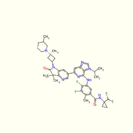 Cc1c(C(=O)NC2(C(F)F)CC2)cc(Nc2nc(-c3cnc4c(c3)N([C@H]3C[C@@](C)(N5CCCC(C)C5)C3)C(=O)C4(C)C)cc3ncn(C(C)C)c23)c(F)c1F